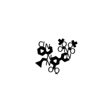 COC(=O)c1cc(-c2ccnc(N(C(=O)OC(C)(C)C)C(=O)OC(C)(C)C)c2)cc2c1nc(CC1CC1)n2-c1ccnc2c(Cl)cccc12